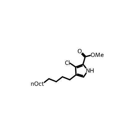 CCCCCCCCCCCCc1c[nH]c(C(=O)OC)c1Cl